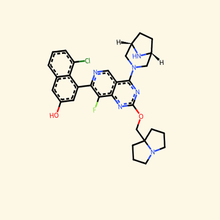 Oc1cc(-c2ncc3c(N4C[C@H]5CC[C@@H](C4)N5)nc(OCC45CCCN4CCC5)nc3c2F)c2c(Cl)cccc2c1